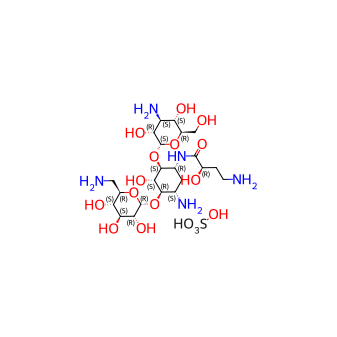 NCC[C@@H](O)C(=O)N[C@@H]1C[C@H](N)[C@@H](O[C@H]2O[C@H](CN)[C@@H](O)[C@H](O)[C@H]2O)[C@H](O)[C@H]1O[C@H]1O[C@H](CO)[C@@H](O)[C@H](N)[C@H]1O.O=S(=O)(O)O